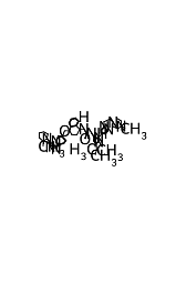 C[C@H]1CCCCN1c1nnc2ccc(O[C@@H]3CC[C@H](NC(=O)Nc4cc(C(C)(C)C)nn4-c4cnn(CCN5CCN(C)CC5)c4)c4ccccc43)cn12